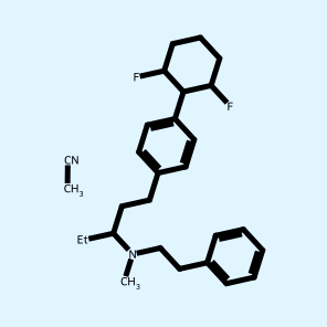 CC#N.CCC(CCc1ccc(C2C(F)CCCC2F)cc1)N(C)CCc1ccccc1